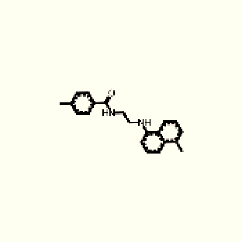 Cc1ccc(C(=O)NCCNc2cccc3c(C)cccc23)cc1